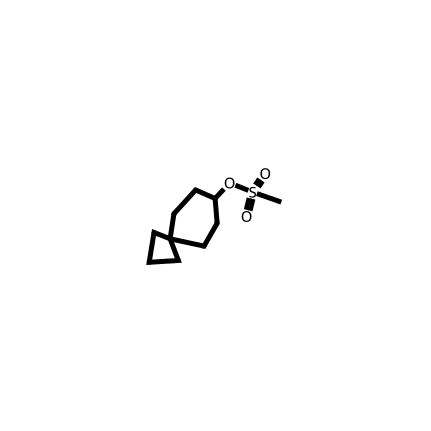 CS(=O)(=O)OC1CCC2(CCC2)CC1